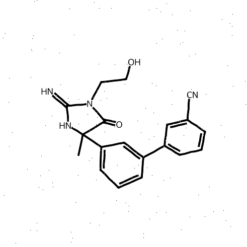 CC1(c2cccc(-c3cccc(C#N)c3)c2)NC(=N)N(CCO)C1=O